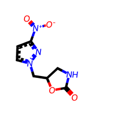 O=C1NCC(Cn2ccc([N+](=O)[O-])n2)O1